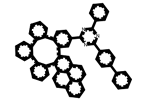 c1ccc(-c2ccc(-c3nc(-c4ccccc4)nc(-c4ccc5c6ccccc6c6ccccc6c6ccccc6c6c(cc7ccc8cccc9ccc6c7c89)c5c4)n3)cc2)cc1